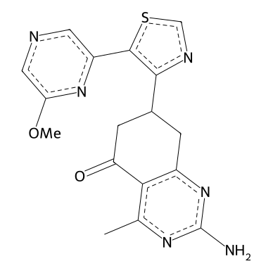 COc1cncc(-c2scnc2C2CC(=O)c3c(C)nc(N)nc3C2)n1